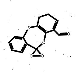 O=CC1=CCCC2=C1OC1(OO1)c1ccccc1S2